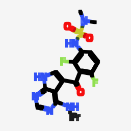 CC(C)Nc1ncnc2[nH]cc(C(=O)c3c(F)ccc(NS(=O)(=O)N(C)C)c3F)c12